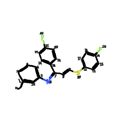 Cc1cccc(/N=C(/C=C/Sc2ccc(F)cc2)c2ccc(F)cc2)c1